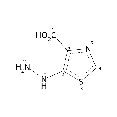 NNc1scnc1C(=O)O